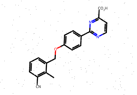 Cc1c(C#N)cccc1COc1ccc(-c2nccc(C(=O)O)n2)cc1